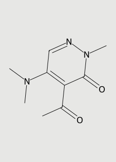 CC(=O)c1c(N(C)C)cnn(C)c1=O